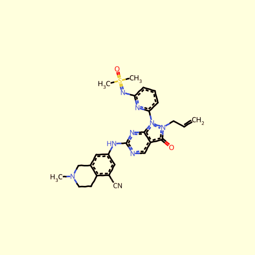 C=CCn1c(=O)c2cnc(Nc3cc(C#N)c4c(c3)CN(C)CC4)nc2n1-c1cccc(N=S(C)(C)=O)n1